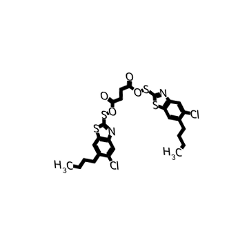 CCCCc1cc2sc(SOC(=O)CCC(=O)OSc3nc4cc(Cl)c(CCCC)cc4s3)nc2cc1Cl